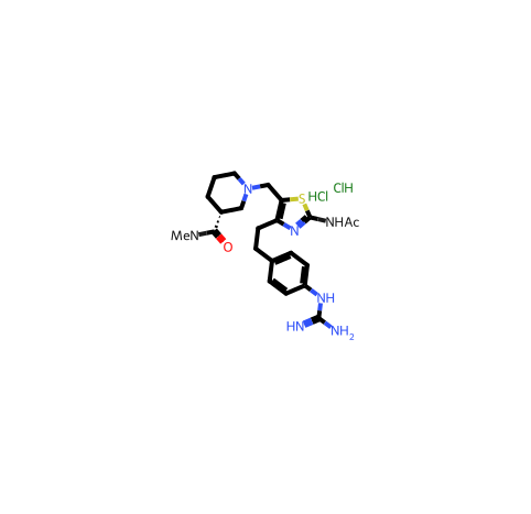 CNC(=O)[C@@H]1CCCN(Cc2sc(NC(C)=O)nc2CCc2ccc(NC(=N)N)cc2)C1.Cl.Cl